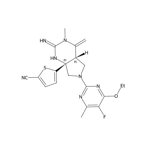 C=C1[C@@H]2CN(c3nc(C)c(F)c(OCC)n3)C[C@]2(c2ccc(C#N)s2)NC(=N)N1C